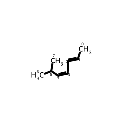 C/C=C/C=[C]\C(C)C